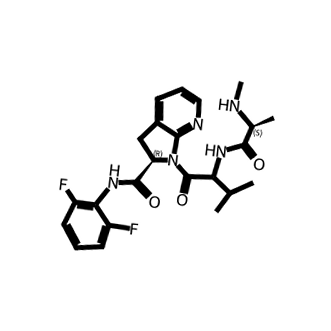 CN[C@@H](C)C(=O)NC(C(=O)N1c2ncccc2C[C@@H]1C(=O)Nc1c(F)cccc1F)C(C)C